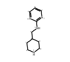 c1cnc(NCC2CCNCC2)nc1